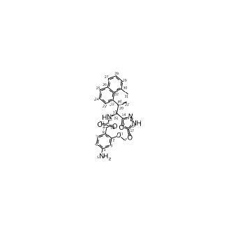 COc1cc(N)ccc1S(=O)(=O)N[C@H](c1n[nH]c(=O)o1)[C@H](C)c1cccc2cccc(C)c12